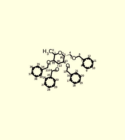 CC1O[C@H](COCc2ccccc2)[C@H](OCc2ccccc2)[C@H](OCc2ccccc2)[C@H]1OCc1ccccc1